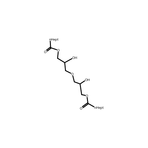 CCCCCCCC(=O)OCC(O)COCC(O)COC(=O)CCCCCCC